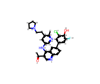 CC(=O)c1cnc2ccc(-c3cc(F)c(O)c(Cl)c3)cc2c1Nc1cnc(C)c(CCN2CCCC2)c1